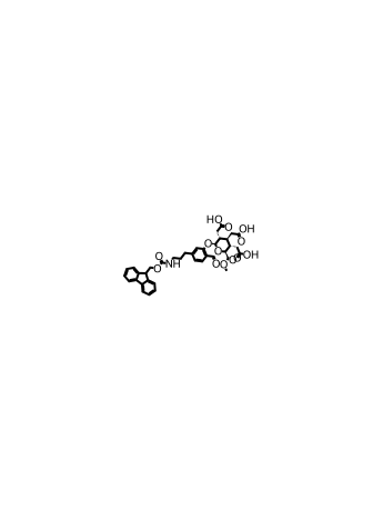 COC(=O)[C@H]1O[C@@H](Oc2cc(CCCNC(=O)OCC3c4ccccc4-c4ccccc43)ccc2C=O)[C@H](CC(=O)O)[C@@H](CC(=O)O)[C@@H]1CC(=O)O